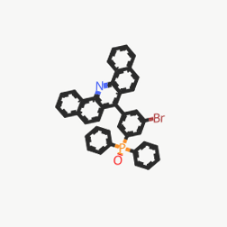 O=P(c1ccccc1)(c1ccccc1)c1cc(Br)cc(-c2c3ccc4ccccc4c3nc3c2ccc2ccccc23)c1